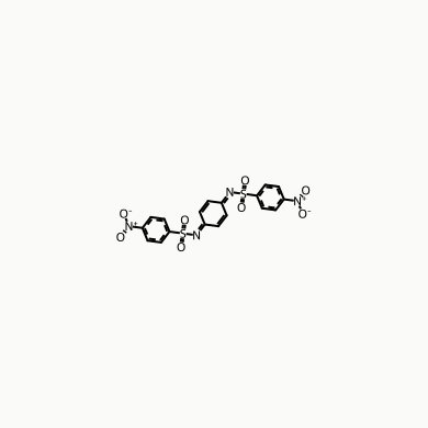 O=[N+]([O-])c1ccc(S(=O)(=O)N=C2C=CC(=NS(=O)(=O)c3ccc([N+](=O)[O-])cc3)C=C2)cc1